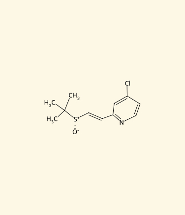 CC(C)(C)[S@@+]([O-])/C=C/c1cc(Cl)ccn1